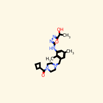 Cc1cc(CN2CCN(C(=O)C3CCC3)CC2)c(C)c(Nc2nnc(C(C)O)o2)c1